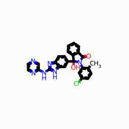 Cc1ccc(Cl)cc1N1C(=O)c2ccccc2C1(O)c1ccc2nc(Nc3cnccn3)[nH]c2c1